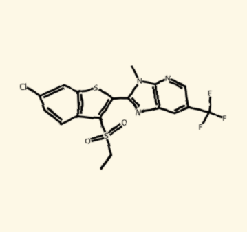 CCS(=O)(=O)c1c(-c2nc3cc(C(F)(F)F)cnc3n2C)sc2cc(Cl)ccc12